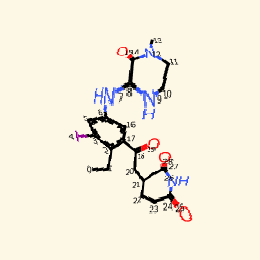 CCc1c(I)cc(NC2NCCN(C)C2=O)cc1C(=O)CC1CCC(=O)NC1=O